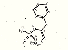 CCOC(=O)C=C(Cc1ccccc1)OS(=O)(=O)C(F)(F)F